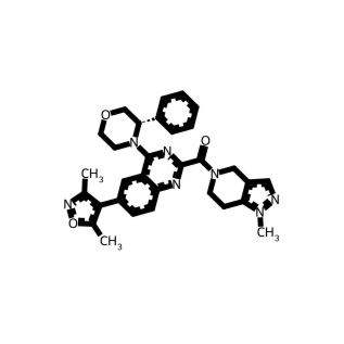 Cc1noc(C)c1-c1ccc2nc(C(=O)N3CCc4c(cnn4C)C3)nc(N3CCOC[C@@H]3c3ccccc3)c2c1